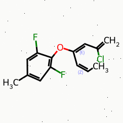 C=C(Cl)/C=C(\C=C/C)Oc1c(F)cc(C)cc1F